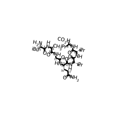 CC[C@H](C)[C@H](N)C(=O)N[C@@H](C)C(=O)NCC(=O)N[C@@H](CCC(N)=O)C(=O)N[C@H](C(=O)N[C@H](C(=O)N[C@H](C(=O)O)C(C)C)C(C)C)C(C)C